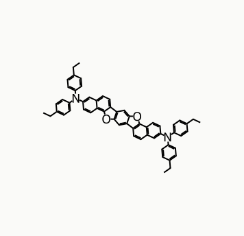 CCc1ccc(N(c2ccc(CC)cc2)c2ccc3c(ccc4c5cc6oc7c8ccc(N(c9ccc(CC)cc9)c9ccc(CC)cc9)cc8ccc7c6cc5oc34)c2)cc1